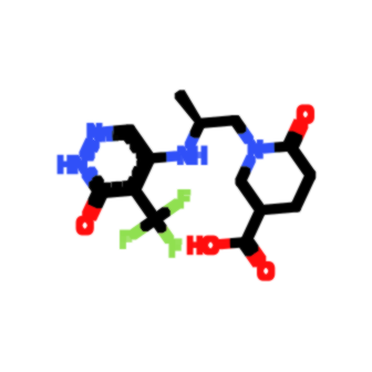 C[C@@H](CN1CC(C(=O)O)CCC1=O)Nc1cn[nH]c(=O)c1C(F)(F)F